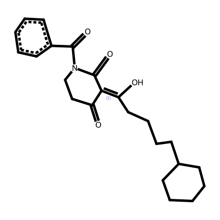 O=C1CCN(C(=O)c2ccccc2)C(=O)/C1=C(\O)CCCCC1CCCCC1